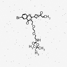 C=CC(=O)N1CC(c2nc3ccc(Br)cc3c(=O)n2CCOCCOCCNC(=O)OC(C)(C)C)C1